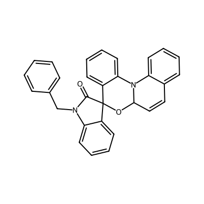 O=C1N(Cc2ccccc2)c2ccccc2C12OC1C=Cc3ccccc3N1c1ccccc12